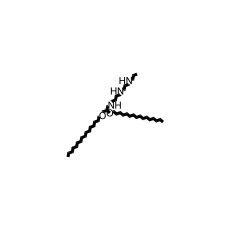 CCCCCCCCCCCCCCCCOCC(CNCCCCNCCCNCCC)OCCCCCCCCCCCCCCCC